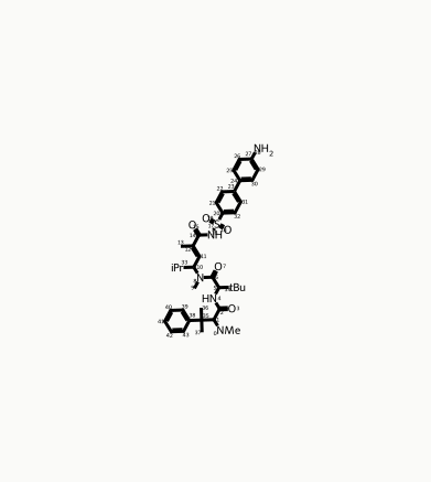 CNC(C(=O)NC(C(=O)N(C)C(C=C(C)C(=O)NS(=O)(=O)c1ccc(-c2ccc(N)cc2)cc1)C(C)C)C(C)(C)C)C(C)(C)c1ccccc1